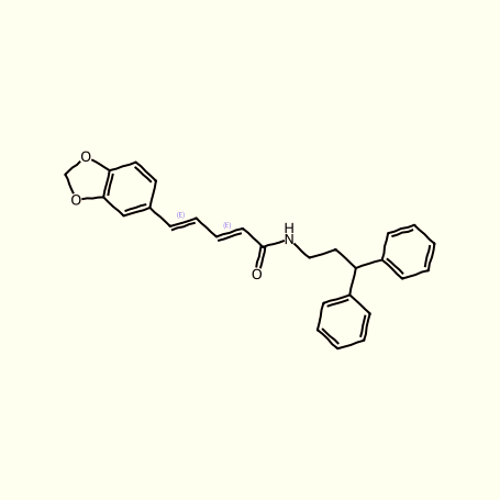 O=C(/C=C/C=C/c1ccc2c(c1)OCO2)NCCC(c1ccccc1)c1ccccc1